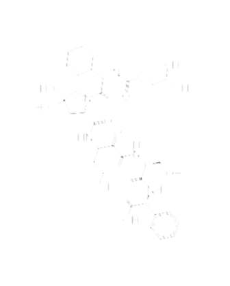 CCCC(NC(=O)[C@@H]1CC(C)(C)CN1C(=O)[C@@H](NC(=O)OCC(C)C)C1CCCCC1)C(=O)C(=O)N[C@@H](CO)C(=O)N[C@H](C(=O)O)c1ccccc1